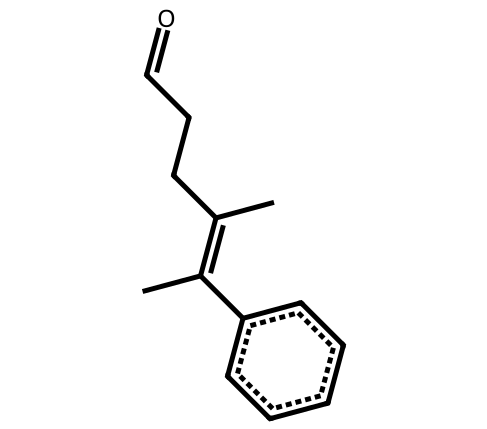 C/C(CCC=O)=C(/C)c1ccccc1